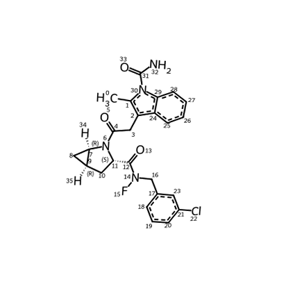 Cc1c(CC(=O)N2[C@@H]3C[C@@H]3C[C@H]2C(=O)N(F)Cc2cccc(Cl)c2)c2ccccc2n1C(N)=O